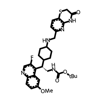 COc1ccc2ncc(F)c([C@@H](CNC(=O)OC(C)(C)C)C3CCC(NCc4ccc5c(n4)NC(=O)CS5)CC3)c2c1